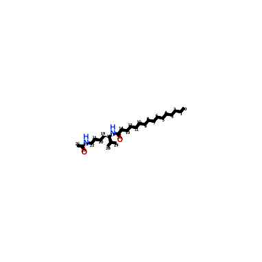 CCCCCCCCCCCCCCCC(=O)N[C@@H](CCCCNC(C)=O)C(C)C